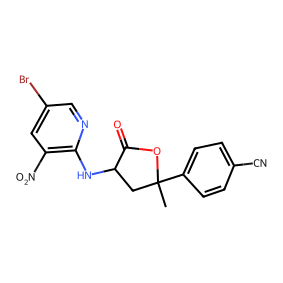 CC1(c2ccc(C#N)cc2)CC(Nc2ncc(Br)cc2[N+](=O)[O-])C(=O)O1